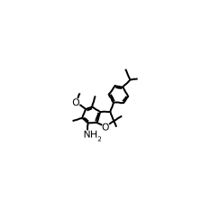 COc1c(C)c(N)c2c(c1C)C(c1ccc(C(C)C)cc1)C(C)(C)O2